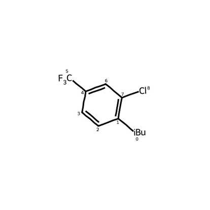 CCC(C)c1ccc(C(F)(F)F)cc1Cl